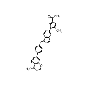 Cc1cc(C(N)=O)nn1-c1ccc2c(ccn2Cc2ccc(-c3cnc4c(c3)OCCN4C)cc2)c1